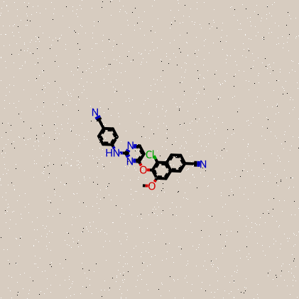 COc1cc2cc(C#N)ccc2c(Cl)c1Oc1ccnc(Nc2ccc(C#N)cc2)n1